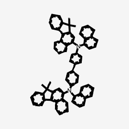 CC1(C)c2ccccc2-c2c1cc(N(c1ccc(-c3ccc(N(c4cccc5ccccc45)c4cc5c(c6ccccc46)-c4ccccc4C5(C)C)cc3)cc1)c1cccc3ccccc13)c1ccccc21